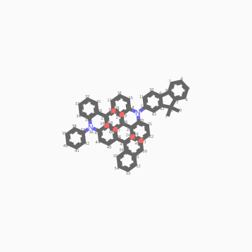 CC1(C)c2ccccc2-c2ccc(N(c3ccccc3)c3ccccc3-c3ccc(-c4ccccc4N(c4ccccc4)c4ccc(-c5cccc6ccccc56)cc4)cc3)cc21